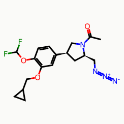 CC(=O)N1C[C@H](c2ccc(OC(F)F)c(OCC3CC3)c2)C[C@@H]1CN=[N+]=[N-]